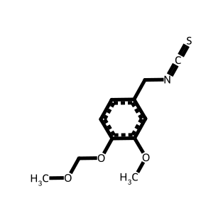 COCOc1ccc(CN=C=S)cc1OC